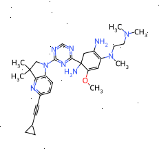 COC1=CC(N(C)CCN(C)C)=C(N)CC1(N)c1ncnc(N2CC(C)(C)c3nc(C#CC4CC4)ccc32)n1